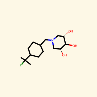 CC(C)(F)C1CCC(CN2C[C@@H](O)C(O)[C@@H](O)C2)CC1